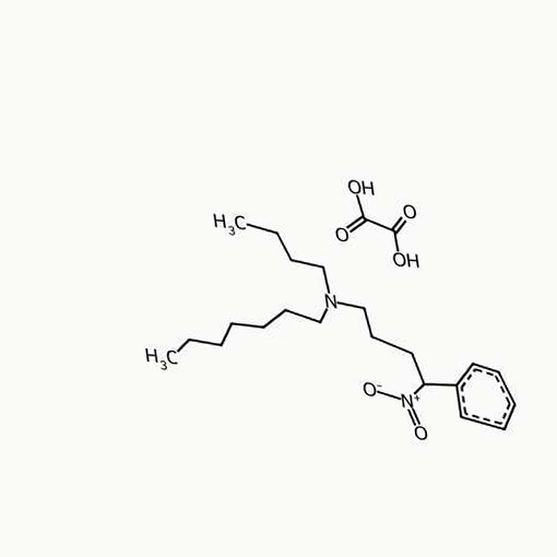 CCCCCCCN(CCCC)CCCC(c1ccccc1)[N+](=O)[O-].O=C(O)C(=O)O